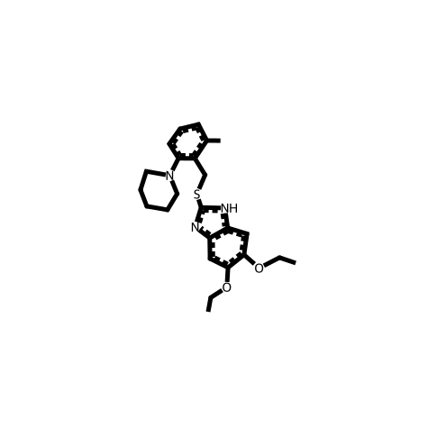 CCOc1cc2nc(SCc3c(C)cccc3N3CCCCC3)[nH]c2cc1OCC